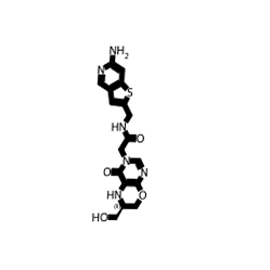 Nc1cc2sc(CNC(=O)Cn3cnc4c(c3=O)N[C@H](CO)CO4)cc2cn1